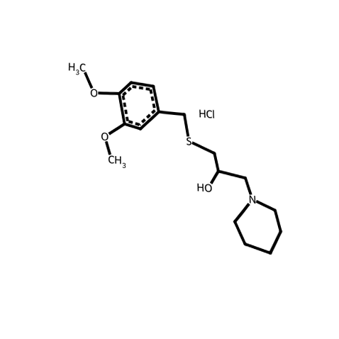 COc1ccc(CSCC(O)CN2CCCCC2)cc1OC.Cl